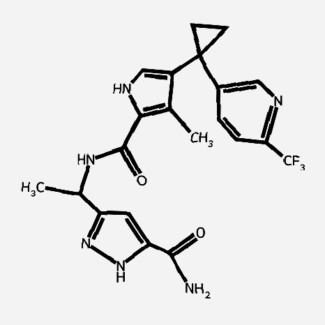 Cc1c(C2(c3ccc(C(F)(F)F)nc3)CC2)c[nH]c1C(=O)NC(C)c1cc(C(N)=O)[nH]n1